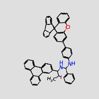 CC(I)C(NC(Nc1ccc(-c2ccc3c(c2)Oc2ccccc2C32c3ccccc3C3C=CC=CC32)cc1)c1ccccc1)c1ccc2c3ccccc3c3ccccc3c2c1